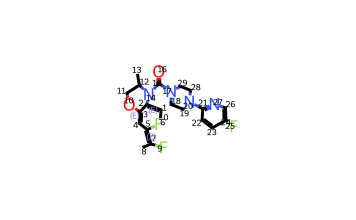 C\C=C1/C(=C\C(F)=C(/C)F)OCC(C)N1C(=O)N1CCN(c2ccc(F)cn2)CC1